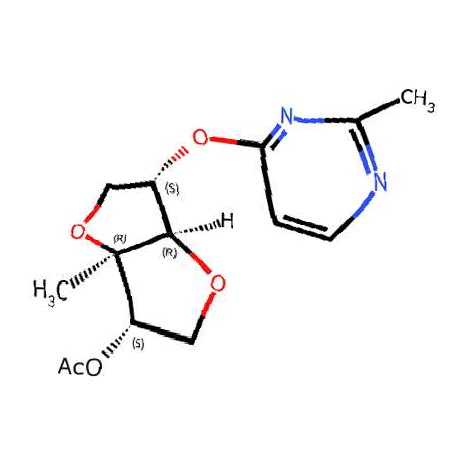 CC(=O)O[C@H]1CO[C@@H]2[C@@H](Oc3ccnc(C)n3)CO[C@]12C